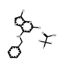 Clc1cc(NCc2ccccc2)c2scc(Cl)c2n1.O=C(O)C(F)(F)F